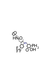 COc1cc(/C=C2/C(C)=C(CC(=O)NCc3ccco3)c3cc(C(F)(F)F)ccc32)cc(P)c1O